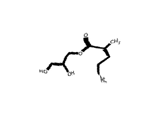 CC(=O)CC=C(C)C(=O)OCC(O)CO